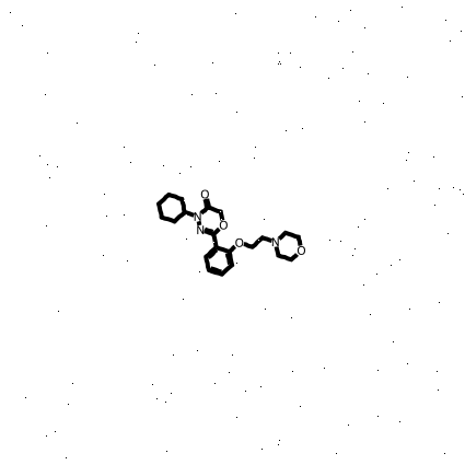 O=C1COC(c2ccccc2OCCN2CCOCC2)=NN1C1CCCCC1